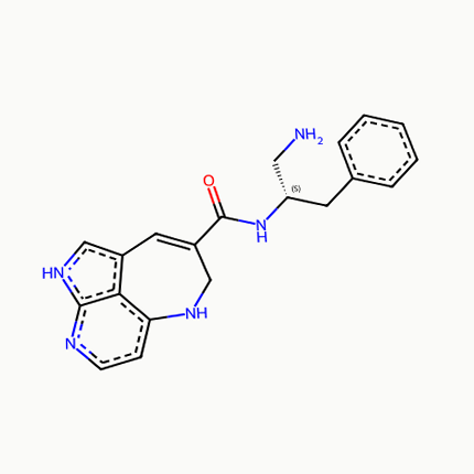 NC[C@H](Cc1ccccc1)NC(=O)C1=Cc2c[nH]c3nccc(c23)NC1